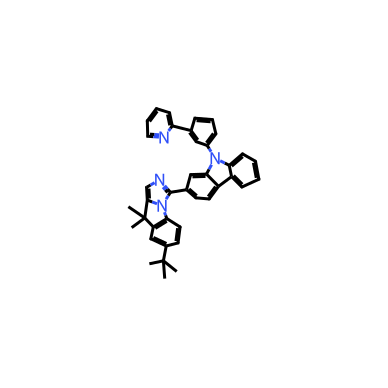 CC(C)(C)c1ccc2c(c1)C(C)(C)c1cnc(-c3ccc4c5ccccc5n(-c5cccc(-c6ccccn6)c5)c4c3)n1-2